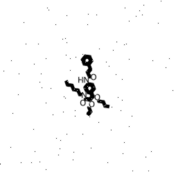 C=CCOc1c(OCCCC)c2ccc(NC(=O)C=Cc3ccccc3)cc2n(CCCCCC)c1=O